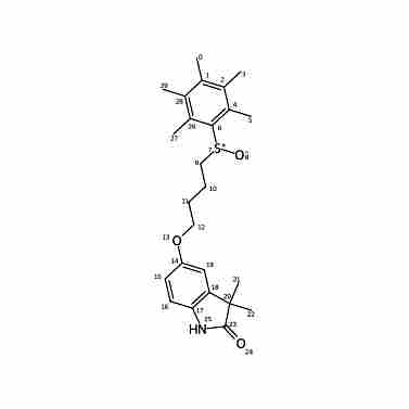 Cc1c(C)c(C)c([S+]([O-])CCCCOc2ccc3c(c2)C(C)(C)C(=O)N3)c(C)c1C